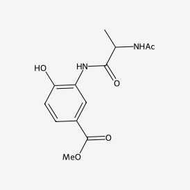 COC(=O)c1ccc(O)c(NC(=O)C(C)NC(C)=O)c1